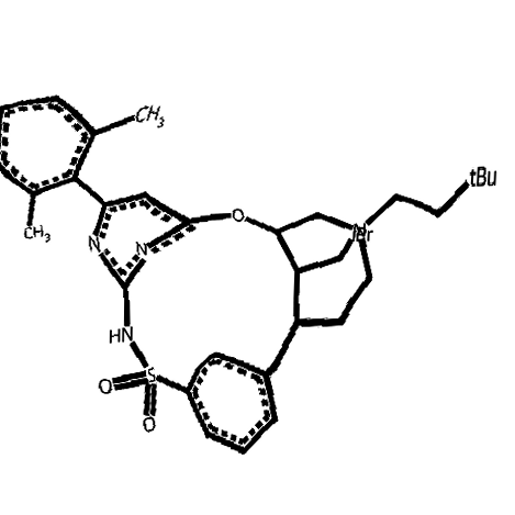 Cc1cccc(C)c1-c1cc2nc(n1)NS(=O)(=O)c1cccc(c1)C1CCN(CCC(C)(C)C)CC(O2)C1CC(C)C